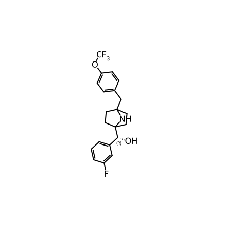 O[C@H](c1cccc(F)c1)C12CCC(Cc3ccc(OC(F)(F)F)cc3)(CC1)N2